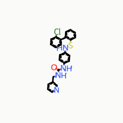 O=C(NCc1cccnc1)Nc1ccc(NSc2ccccc2-c2ccccc2Cl)cc1